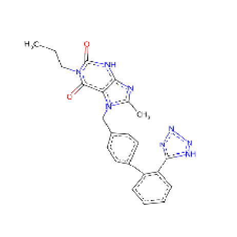 CCCn1c(=O)[nH]c2nc(C)n(Cc3ccc(-c4ccccc4-c4nnn[nH]4)cc3)c2c1=O